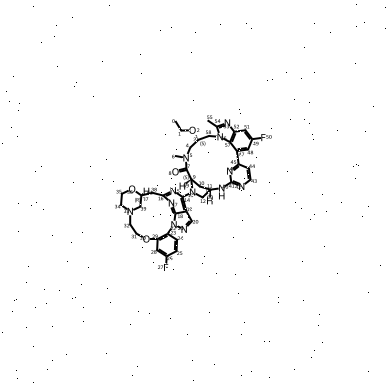 CCO[C@H]1CN(C)C(=O)[C@@H]2C[C@@H](CN2c2nc3nc4c2cnn4-c2ccc(F)cc2OCCN2CCO[C@H](C3)C2)Nc2nccc(n2)-c2cc(F)cc3nc(C)n(c23)C1